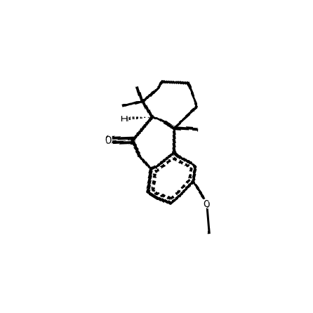 COc1ccc2c(c1)C1(C)CCCC(C)(C)[C@@H]1C2=O